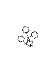 [c]1nnn(C(c2ccccc2)(c2ccccc2)c2ccccc2)n1